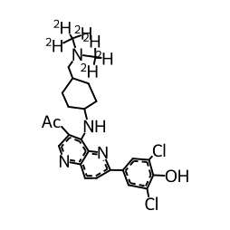 [2H]C([2H])([2H])N(CC1CCC(Nc2c(C(C)=O)cnc3ccc(-c4cc(Cl)c(O)c(Cl)c4)nc23)CC1)C([2H])([2H])[2H]